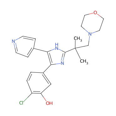 CC(C)(CN1CCOCC1)c1nc(-c2ccc(Cl)c(O)c2)c(-c2ccncc2)[nH]1